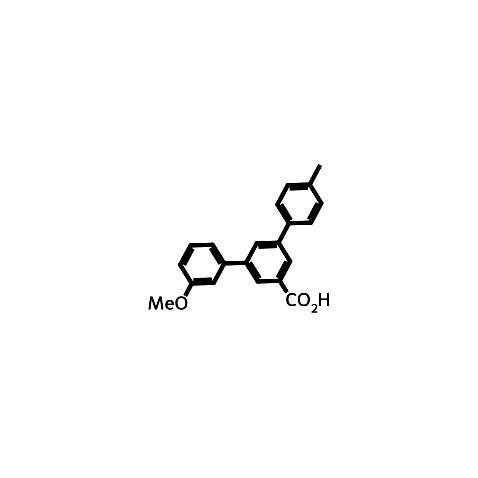 COc1cccc(-c2cc(C(=O)O)cc(-c3ccc(C)cc3)c2)c1